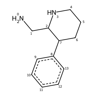 NCC1NCCCC1c1ccccc1